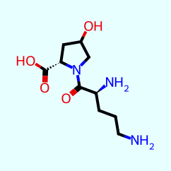 NCCC[C@H](N)C(=O)N1CC(O)C[C@H]1C(=O)O